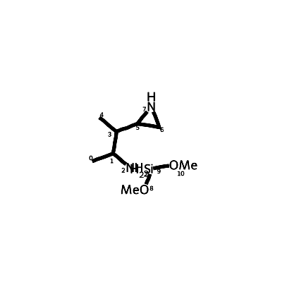 CC(N)C(C)C1CN1.CO[SiH2]OC